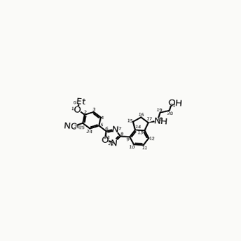 CCOc1ccc(-c2nc(-c3cccc4c3CC[C@H]4NCCO)no2)cc1C#N